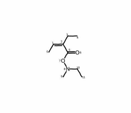 CC=C(CC)C(=O)ON(C)CC